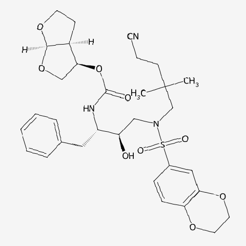 CC(C)(CCC#N)CN(C[C@@H](O)[C@H](Cc1ccccc1)NC(=O)O[C@H]1CO[C@H]2OCC[C@H]21)S(=O)(=O)c1ccc2c(c1)OCCO2